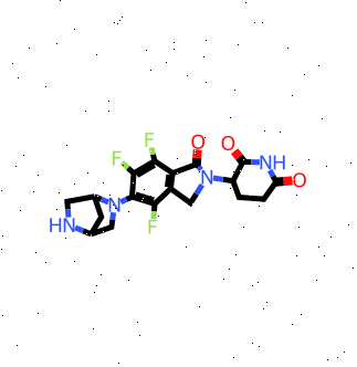 O=C1CCC(N2Cc3c(F)c(N4CC5CC4CN5)c(F)c(F)c3C2=O)C(=O)N1